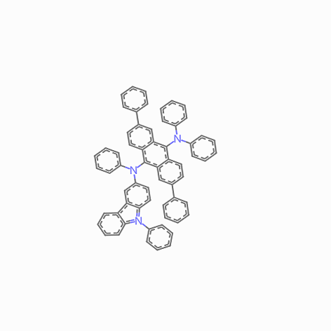 c1ccc(-c2ccc3c(N(c4ccccc4)c4ccc5c(c4)c4ccccc4n5-c4ccccc4)c4cc(-c5ccccc5)ccc4c(N(c4ccccc4)c4ccccc4)c3c2)cc1